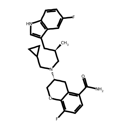 C[C@H](Cc1c[nH]c2ccc(F)cc12)CN(CC1CC1)[C@H]1COc2c(F)ccc(C(N)=O)c2C1